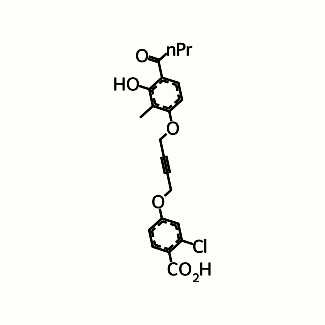 CCCC(=O)c1ccc(OCC#CCOc2ccc(C(=O)O)c(Cl)c2)c(C)c1O